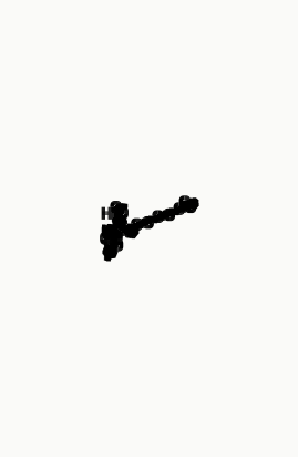 CCS(=O)(=O)Nc1ccc(Oc2cccc(OCCOCCOCCOCCOCC(=O)OC(C)(C)C)c2)c(-c2cn(C)c(=O)c3c2ccn3S(=O)(=O)c2ccc(C)cc2)c1